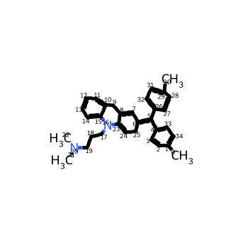 Cc1ccc(C(=C2C=C3Cc4ccccc4N(CCCN(C)C)C3=CC2)c2ccc(C)cc2)cc1